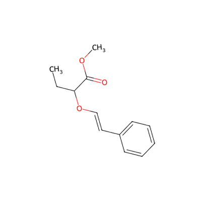 CCC(OC=Cc1ccccc1)C(=O)OC